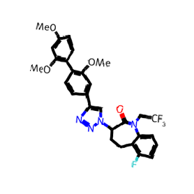 COc1ccc(-c2ccc(-c3cn(C4CCc5c(F)cccc5N(CC(F)(F)F)C4=O)nn3)cc2OC)c(OC)c1